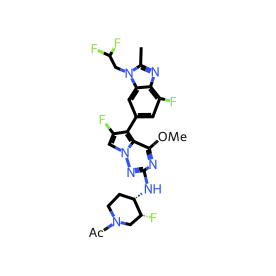 COc1nc(N[C@H]2CCN(C(C)=O)C[C@H]2F)nn2cc(F)c(-c3cc(F)c4nc(C)n(CC(F)F)c4c3)c12